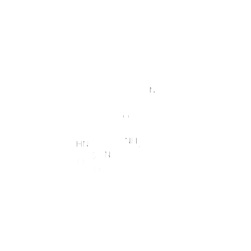 CN1CCCCC1COc1cccc2c1C(N)=NS(=O)(=O)N2